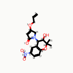 C=CCOC1=CC(=O)N(C2c3cc([N+](=O)[O-])ccc3OC(C)(C)C2O)C1